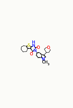 Cn1cc(C2CCOCC2)c2cc(-n3c(=O)[nH]c4sc5c(c4c3=O)CCCCC5)ccc21